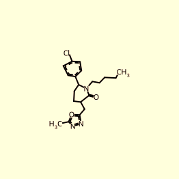 CCCCCN1C(=O)C(Cc2nnc(C)o2)CCC1c1ccc(Cl)cc1